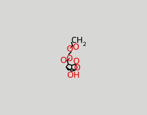 C=CC(=O)OCCOC(=O)C1C2CC3C(OC(=O)C31)C2O